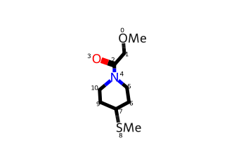 COCC(=O)N1CCC(SC)CC1